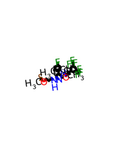 CC(=S)OCCCNc1cc(-c2ccc(F)cc2C)c(N(C)C(=O)C(C)(C)c2cc(C(F)(F)F)cc(C(F)(F)F)c2)cn1